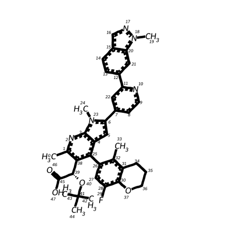 Cc1nc2c(cc(-c3ccnc(-c4ccc5cnn(C)c5c4)c3)n2C)c(-c2cc(F)c3c(c2C)CCCO3)c1[C@H](OC(C)(C)C)C(=O)O